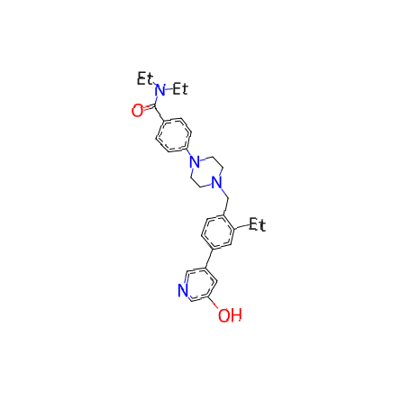 CCc1cc(-c2cncc(O)c2)ccc1CN1CCN(c2ccc(C(=O)N(CC)CC)cc2)CC1